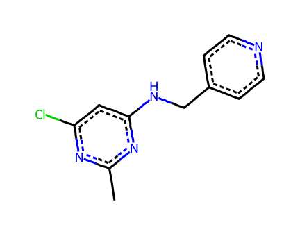 Cc1nc(Cl)cc(NCc2ccncc2)n1